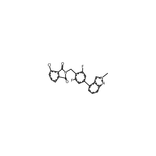 Cn1cc2c(-c3cc(F)c(CN4C(=O)c5cccc(Cl)c5C4=O)c(F)c3)cccc2n1